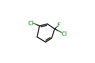 FC1(Cl)C=C[CH]C(Cl)=C1